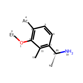 CCOc1c(C(C)=O)ccc([C@@H](C)N)c1C